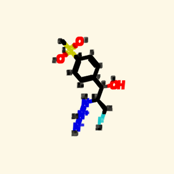 CS(=O)(=O)c1ccc([C@H](O)[C@@H](CF)N=[N+]=[N-])cc1